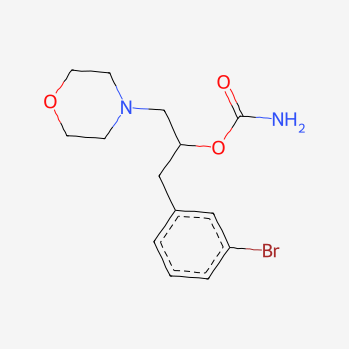 NC(=O)OC(Cc1cccc(Br)c1)CN1CCOCC1